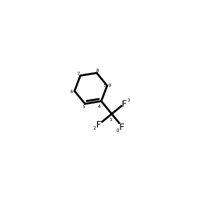 FC(F)(F)C1=CCCC[C]1